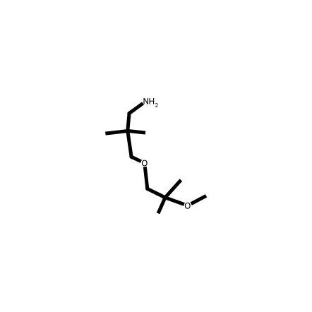 COC(C)(C)COCC(C)(C)CN